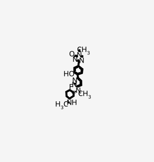 CNC1CCC(F)[C@@H](N(C)c2ccc(-c3ccc(-c4ncn(C)c(=O)n4)cc3O)nn2)C1